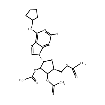 CC(=O)OC[C@@H]1O[C@@H](n2cnc3c(NC4CCCC4)nc(I)nc32)[C@H](OC(C)=O)[C@@H]1OC(C)=O